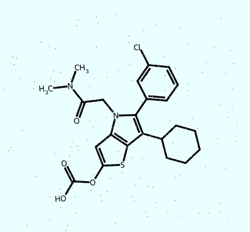 CN(C)C(=O)Cn1c(-c2cccc(Cl)c2)c(C2CCCCC2)c2sc(OC(=O)O)cc21